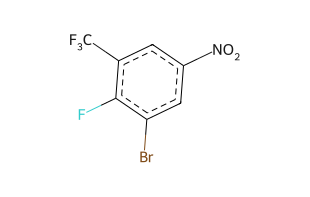 O=[N+]([O-])c1cc(Br)c(F)c(C(F)(F)F)c1